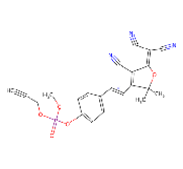 C#CCOP(=O)(OC)Oc1ccc(/C=C/C2=C(C#N)C(=C(C#N)C#N)OC2(C)C)cc1